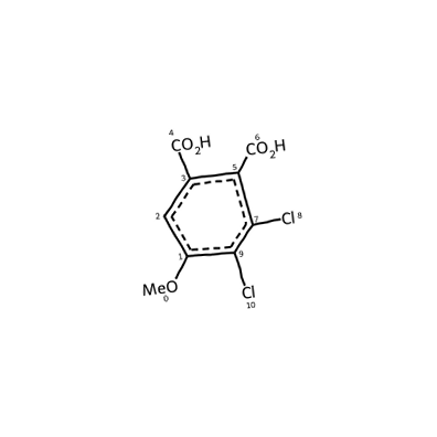 COc1cc(C(=O)O)c(C(=O)O)c(Cl)c1Cl